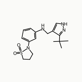 CC(C)(C)c1n[nH]cc1CNc1cccc(N2CCCS2(=O)=O)c1